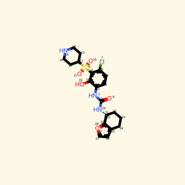 O=C(Nc1ccc(Cl)c(S(=O)(=O)C2CCNCC2)c1O)N[C@@H]1CCCc2ccoc21